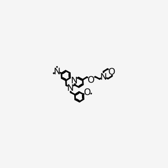 COc1cccc(CN(Cc2cccc(N(C)C)c2)c2ccc(COCCN3CCOCC3)cn2)c1